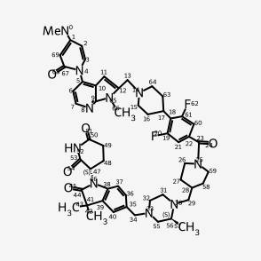 CNc1ccn(-c2ccnc3c2cc(CN2CCC(c4c(F)cc(C(=O)N5CCC(CN6CCN(Cc7ccc8c(c7)C(C)(C)C(=O)N8[C@H]7CCC(=O)NC7=O)C[C@@H]6C)CC5)cc4F)CC2)n3C)c(=O)c1